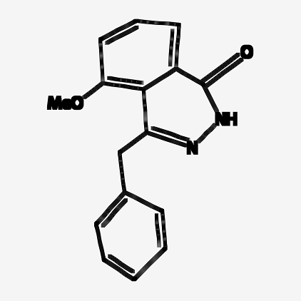 COc1cccc2c(=O)[nH]nc(Cc3ccccc3)c12